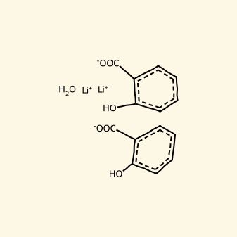 O.O=C([O-])c1ccccc1O.O=C([O-])c1ccccc1O.[Li+].[Li+]